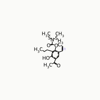 C/C=C\c1cc(C(C)=O)c(O)c(CCC)c1OC(=O)N(SC)SC